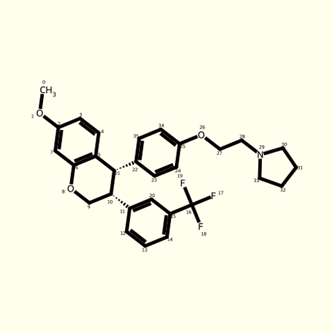 COc1ccc2c(c1)OC[C@@H](c1cccc(C(F)(F)F)c1)[C@H]2c1ccc(OCCN2CCCC2)cc1